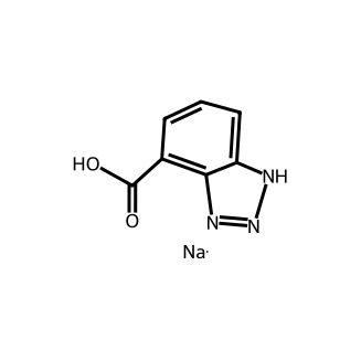 O=C(O)c1cccc2[nH]nnc12.[Na]